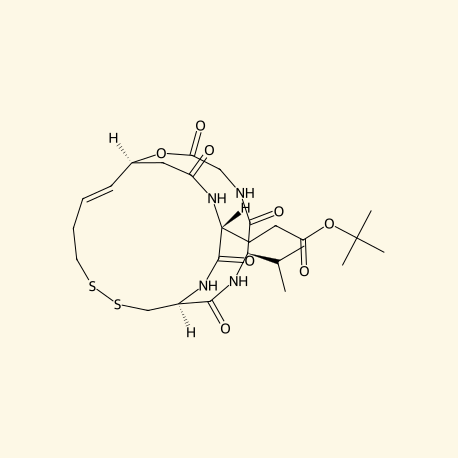 CC(C)[C@H]1NC(=O)[C@H]2CSSCC/C=C/[C@H](CC(=O)N[C@H](CCC(=O)OC(C)(C)C)C(=O)N2)OC(=O)CNC1=O